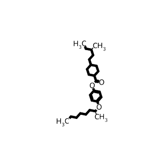 CCCCCC[C@@H](C)Oc1ccc(OC(=O)C2CCC(CC[C@@H](C)CC)CC2)cc1